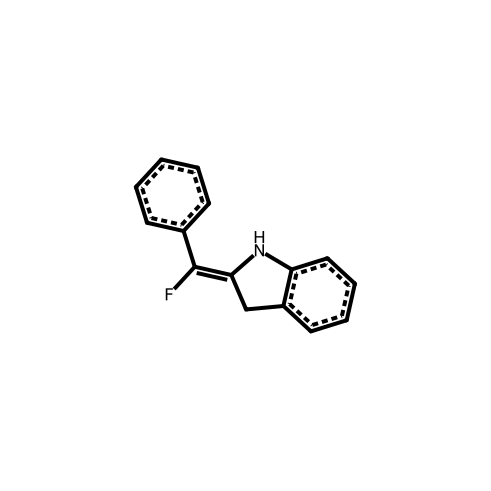 FC(=C1Cc2ccccc2N1)c1ccccc1